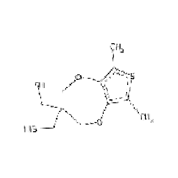 Cc1sc(C)c2c1OCC(CS)(CS)CO2